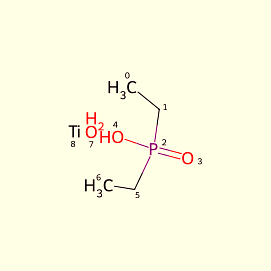 CCP(=O)(O)CC.O.[Ti]